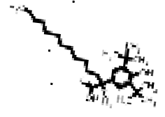 CCCCCCCCCCCCC(C)(C(=O)O)c1cc(C(C)(C)C)c(O)c(C(C)(C)C)c1